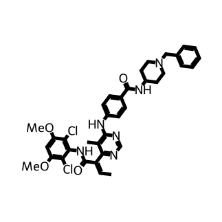 C/C=C(/C(=O)Nc1c(Cl)c(OC)cc(OC)c1Cl)c1ncnc(Nc2ccc(C(=O)NC3CCN(Cc4ccccc4)CC3)cc2)c1C